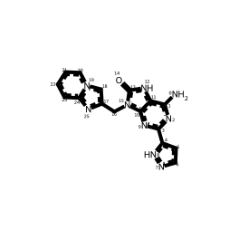 Nc1nc(-c2ccn[nH]2)nc2c1[nH]c(=O)n2Cc1cn2ccccc2n1